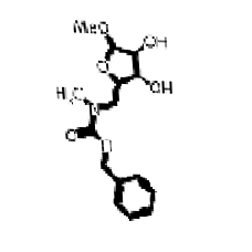 COC1OC(CN(C)C(=O)OCc2ccccc2)[C@H](O)[C@@H]1O